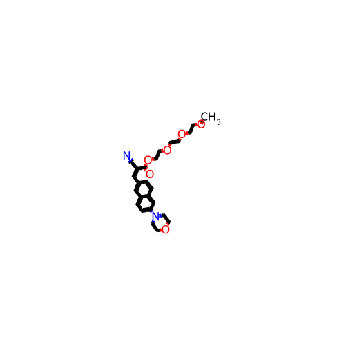 COCCOCCOCCOC(=O)C(C#N)=Cc1ccc2cc(N3CCOCC3)ccc2c1